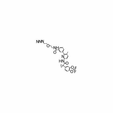 Cc1ccc(NC(=O)C2(c3ccc4c(c3)OC(F)(F)O4)CC2)nc1-c1cccc(C(=O)NCCOCCN=[N+]=[N-])c1